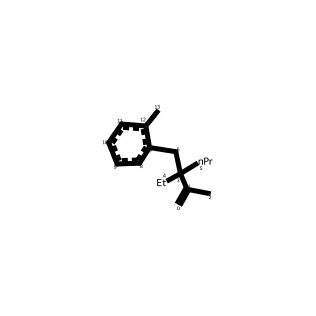 C=C(C)C(CC)(CCC)Cc1ccccc1C